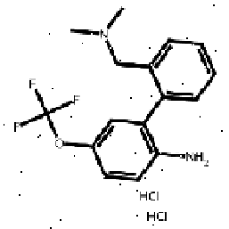 CN(C)Cc1ccccc1-c1cc(OC(F)(F)F)ccc1N.Cl.Cl